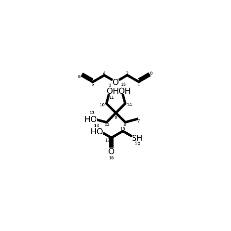 C=CCOCC=C.CCC(CO)(CO)CO.O=C(O)CS